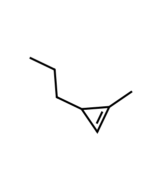 CCCC1C=C1C